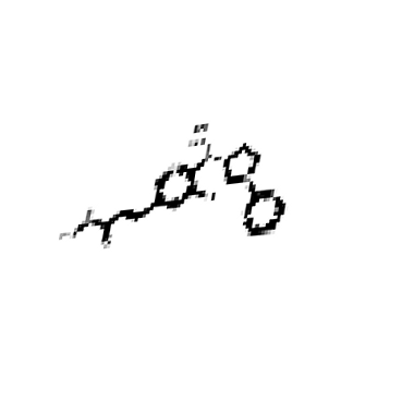 Cl.Cl.O=C(C=Cc1cnc(N[C@@H]2CCN(c3ncccn3)C2)c(Cl)c1)NO